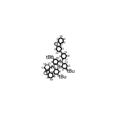 CC(C)(C)c1ccc2c(c1)B1c3cc(C(C)(C)C)ccc3N(c3cccc(-c4ccc5oc6ccccc6c5c4)c3)c3cc(C(C)(C)C)cc(c31)N2C1=c2c(oc3ccccc23)=CCC1